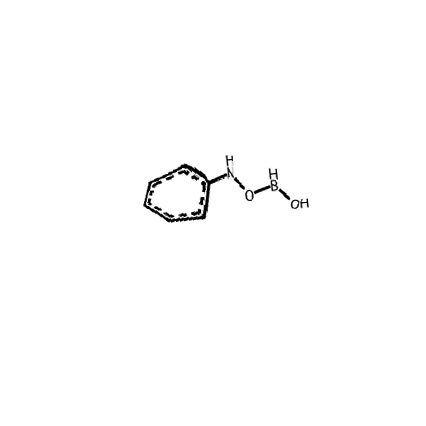 OBONc1ccccc1